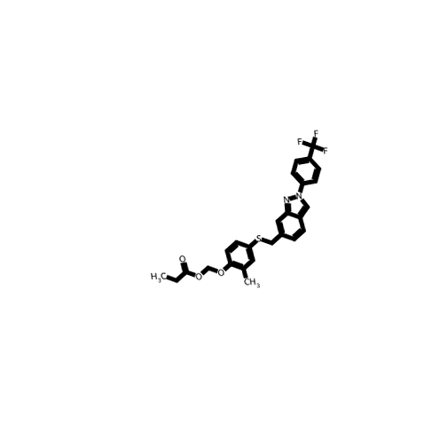 CCC(=O)OCOc1ccc(SCc2ccc3cn(-c4ccc(C(F)(F)F)cc4)nc3c2)cc1C